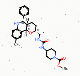 CC(C)(C)OC(=O)N1CCC(NC(=O)NC[C@H]2CC[C@@H]3[C@H](O2)c2cc(C(F)(F)F)ccc2N[C@H]3c2ccccc2)CC1